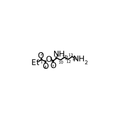 CCC(=O)C(=O)OC(=O)[C@@H](N)CCCCN